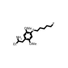 CCC(N)Cc1cc(OC)c(SCCCCCF)cc1OC